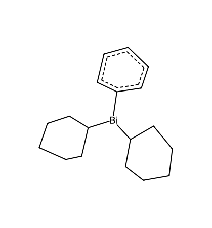 c1cc[c]([Bi]([CH]2CCCCC2)[CH]2CCCCC2)cc1